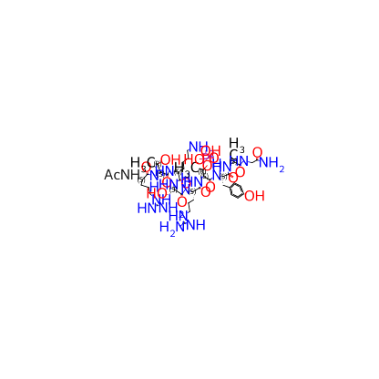 CC(=O)N[C@@H](CCCNC(=N)N)C(=O)N[C@H](C(=O)N[C@@H](CCCCN)C(=O)N[C@@H](CO)C(=O)N[C@@H](CCCNC(=N)N)C(=O)N[C@H](C(=O)N[C@@H](Cc1ccc(O)cc1)C(=O)N[C@@H](C)C(=O)NCC(N)=O)[C@@H](C)OP(=O)(O)O)[C@@H](C)O